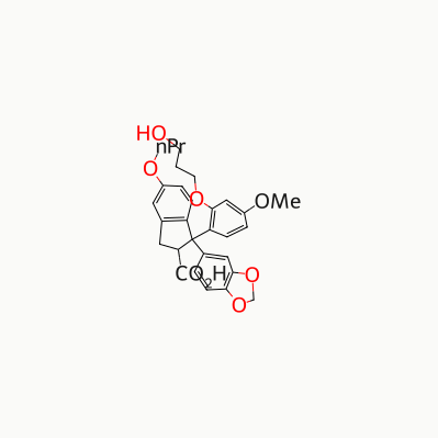 CCCOc1ccc2c(c1)CC(C(=O)O)C2(c1ccc2c(c1)OCO2)c1ccc(OC)cc1OCCCO